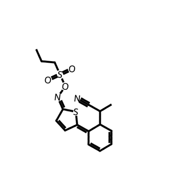 CCCS(=O)(=O)ON=C1C=CC(=C2C=CC=CC2C(C)C#N)S1